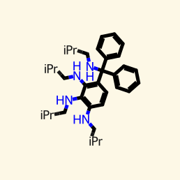 CC(C)CNc1ccc(C(NCC(C)C)(c2ccccc2)c2ccccc2)c(NCC(C)C)c1NCC(C)C